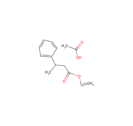 C=COC(=O)CC(C)c1ccccc1.CC(=O)O